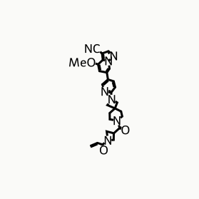 C=CC(=O)N1CC(C(=O)N2CCC3(CC2)CN(c2ccc(-c4cc(OC)c5c(C#N)cnn5c4)cn2)C3)C1